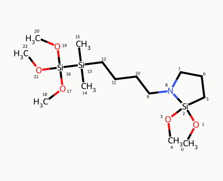 CO[Si]1(OC)CCCN1CCCC[Si](C)(C)[Si](OC)(OC)OC